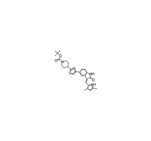 Cc1cc(C)c(/C=C2\C(=O)Nc3ccc(-c4csc(C5CCN(C(=O)OC(C)(C)C)CC5)n4)cc32)[nH]1